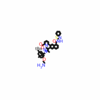 Cc1c(-c2cc3cccc(C(=O)Nc4nc5ccccc5s4)c3cc2-c2cccc(C(=O)OC(C)(C)C)n2)cnn1CC12CC3(C)CC(C)(C1)CC(OCCN)(C3)C2